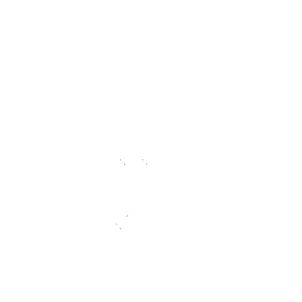 CCCCCCCCCCc1ccc(-c2cnc([C@H]3CC[C@@](C#N)(CCCCCCCC)CC3)nc2)cc1